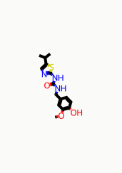 COc1cc(CNC(=O)Nc2ncc(C(C)C)s2)ccc1O